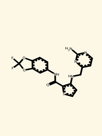 Nc1nccc(CNc2ccsc2C(=O)Nc2ccc3c(c2)OC(F)(F)O3)n1